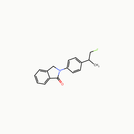 CC(CF)c1ccc(N2Cc3ccccc3C2=O)cc1